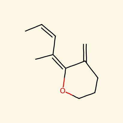 C=C1CCCO/C1=C(C)/C=C\C